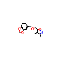 CC1=NOC(COCc2ccc3c(c2)OCO3)C1C